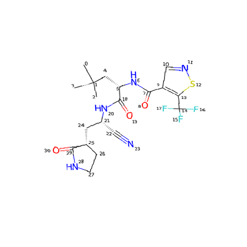 CC(C)(C)C[C@H](NC(=O)c1cnsc1C(F)(F)F)C(=O)N[C@H](C#N)C[C@@H]1CCNC1=O